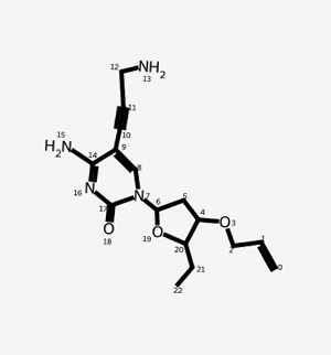 C=CCOC1CC(n2cc(C#CCN)c(N)nc2=O)OC1CC